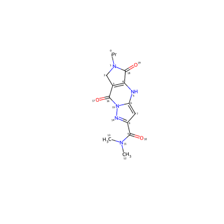 CC(C)N1Cc2c([nH]c3cc(C(=O)N(C)C)nn3c2=O)C1=O